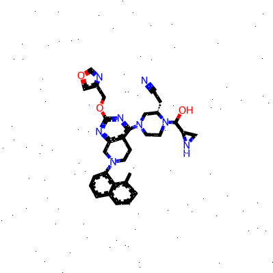 Cc1cccc2cccc(N3CCc4c(nc(OCc5cocn5)nc4N4CCN(C(O)C5CN5)[C@@H](CC#N)C4)C3)c12